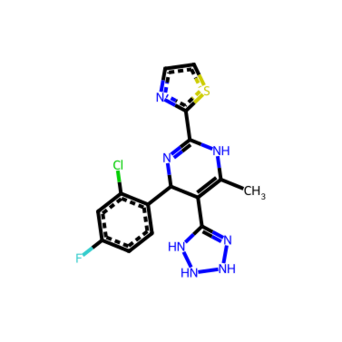 CC1=C(C2=NNNN2)C(c2ccc(F)cc2Cl)N=C(c2nccs2)N1